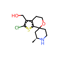 C[C@H]1CC2(CCN1)OCCc1c2sc(Cl)c1CO